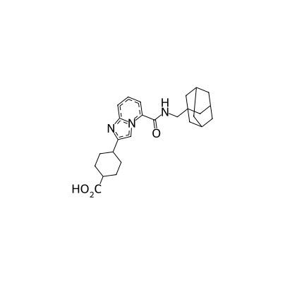 O=C(NCC12CC3CC(CC(C3)C1)C2)c1cccc2nc(C3CCC(C(=O)O)CC3)cn12